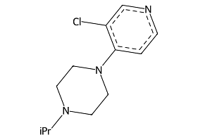 CC(C)N1CCN(c2ccncc2Cl)CC1